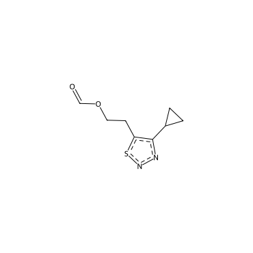 O=COCCc1snnc1C1CC1